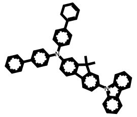 CC1(C)c2cc(N(c3ccc(C4=CC=CCC4)cc3)c3ccc(-c4ccccc4)cc3)ccc2-c2ccc(-n3c4ccccc4c4ccccc43)cc21